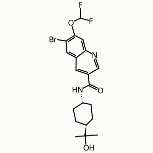 CC(C)(O)[C@H]1CC[C@H](NC(=O)c2cnc3cc(OC(F)F)c(Br)cc3c2)CC1